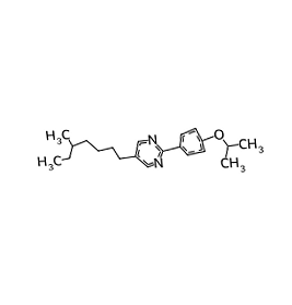 CCC(C)CCCCc1cnc(-c2ccc(OC(C)C)cc2)nc1